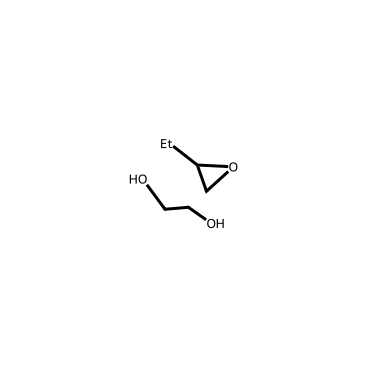 CCC1CO1.OCCO